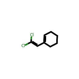 ClC(Cl)=CC1=CCCCC1